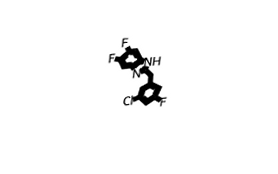 Fc1cc(Cl)cc(Cc2nc3cc(F)c(F)cc3[nH]2)c1